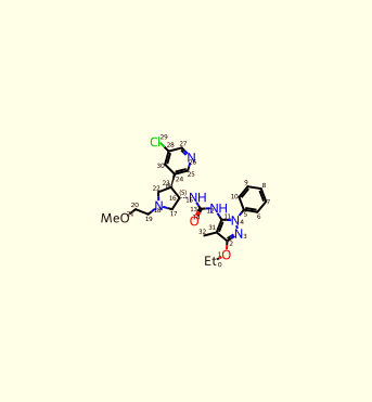 CCOc1nn(-c2ccccc2)c(NC(=O)N[C@@H]2CN(CCOC)C[C@H]2c2cncc(Cl)c2)c1C